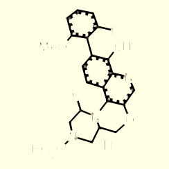 COc1cccc(F)c1-c1ccc2c3c(cnc2c1C)OC[C@H]1CN(C(=O)O)CC(Cl)N31